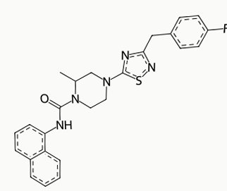 CC1CN(c2nc(Cc3ccc(F)cc3)ns2)CCN1C(=O)Nc1cccc2ccccc12